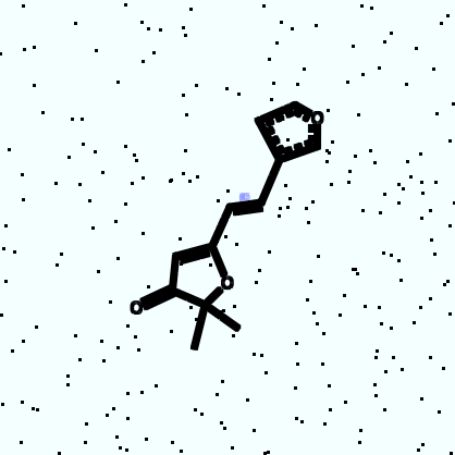 CC1(C)OC(/C=C/c2ccoc2)=CC1=O